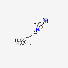 C=C(C)C(=C)CCCCCCCCc1ccc(/N=N/c2ccc(C#Cc3ncccn3)c(C)c2)cc1